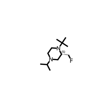 CC(C)N1CCN(C(C)(C)C)[C@H](CF)C1